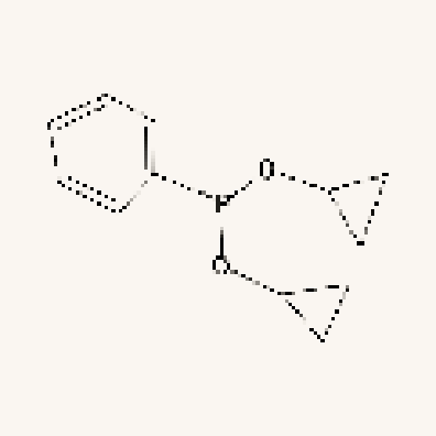 c1ccc(P(OC2CC2)OC2CC2)cc1